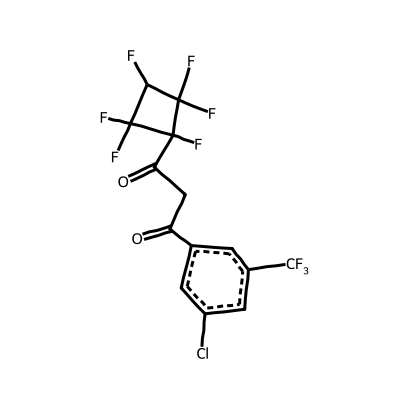 O=C(CC(=O)C1(F)C(F)(F)C(F)C1(F)F)c1cc(Cl)cc(C(F)(F)F)c1